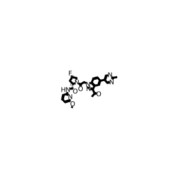 COc1cccc(NC(=O)[C@@H]2C[C@@H](F)CN2C(=O)Cn2nc(C(C)=O)c3cc(-c4cnc(C)nc4)ccc32)n1